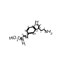 NCCc1c[nH]c2ccc(N=CNC(=O)O)cc12